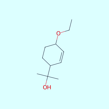 CCOC1C=CC(C(C)(C)O)CC1